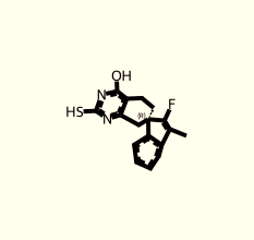 CC1=C(F)[C@@]2(CCc3c(O)nc(S)nc3C2)c2ccccc21